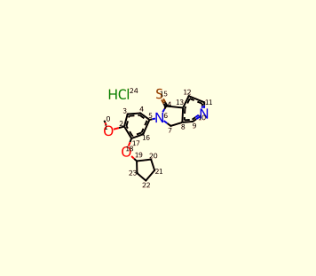 COc1ccc(N2Cc3cnccc3C2=S)cc1OC1CCCC1.Cl